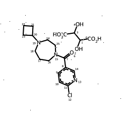 O=C(O)C(O)C(O)C(=O)O.O=C(c1ccc(Cl)nc1)N1CCCN(C2CCC2)CC1